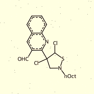 CCCCCCCCN1CC(Cl)(c2nc3ccccc3cc2C=O)C(Cl)S1